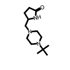 CC(C)(C)N1CCN(CC2CCC(=O)N2)CC1